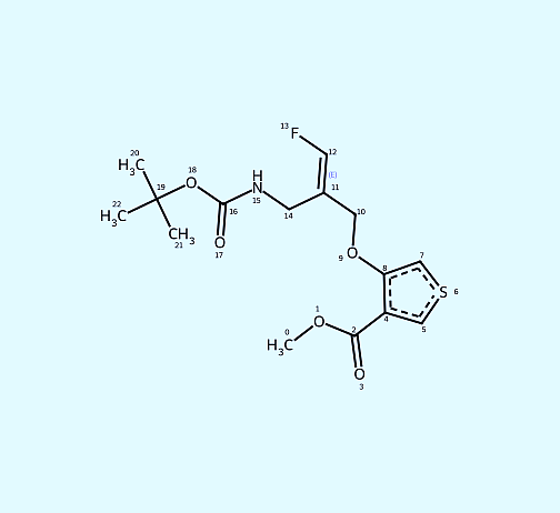 COC(=O)c1cscc1OC/C(=C/F)CNC(=O)OC(C)(C)C